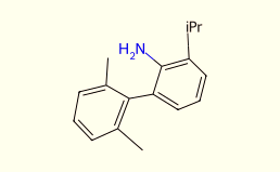 Cc1cccc(C)c1-c1cccc(C(C)C)c1N